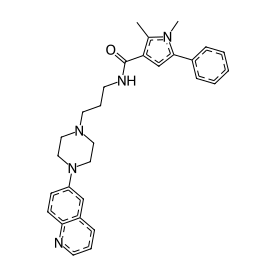 Cc1c(C(=O)NCCCN2CCN(c3ccc4ncccc4c3)CC2)cc(-c2ccccc2)n1C